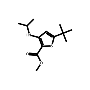 COC(=O)c1sc(C(C)(C)C)cc1NC(C)C